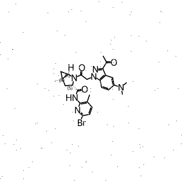 CC(=O)c1nn(CC(=O)N2[C@H](C(=O)Nc3nc(Br)ccc3C)C[C@@]3(C)C[C@@H]23)c2ccc(N(C)C)cc12